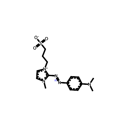 CN(C)c1ccc(/N=N/c2n(C)cc[n+]2CCCS(=O)(=O)[O-])cc1